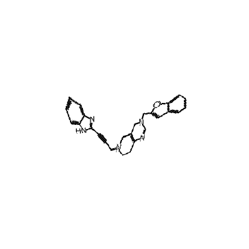 C(#Cc1nc2ccccc2[nH]1)CN1CCC2=C(CN(Cc3cc4ccccc4o3)C=N2)C1